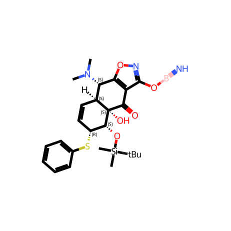 CN(C)[C@@H]1c2onc(OB=N)c2C(=O)[C@@]2(O)[C@H](O[Si](C)(C)C(C)(C)C)[C@H](Sc3ccccc3)C=C[C@@H]12